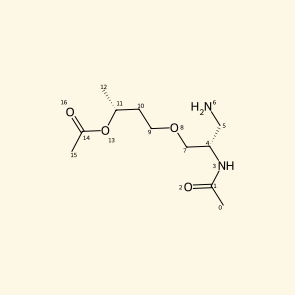 CC(=O)N[C@@H](CN)COCC[C@@H](C)OC(C)=O